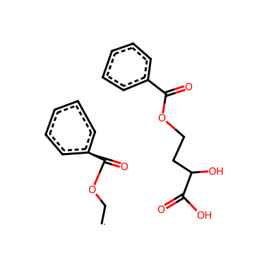 O=C(OCCC(O)C(=O)O)c1ccccc1.[CH2]COC(=O)c1ccccc1